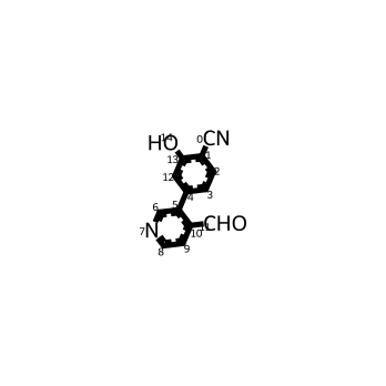 N#Cc1ccc(-c2cnccc2C=O)cc1O